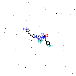 O=C(NCCc1ccc(C(F)(F)F)cc1)C1CCN1c1cc(N2CCC(CCCC3CCNCC3)CC2)nc(C(F)(F)F)n1